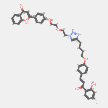 O=C(/C=C/c1ccc(OCCCCc2cn(CCOCCOc3ccc(-c4cc(=O)c5ccccc5o4)cc3)nn2)cc1)c1ccc(F)cc1O